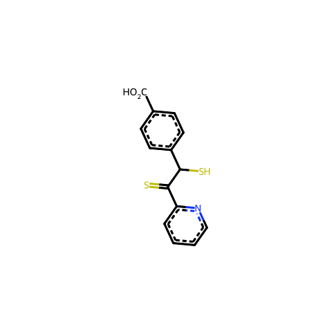 O=C(O)c1ccc(C(S)C(=S)c2ccccn2)cc1